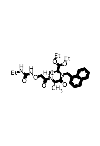 CCNC(=O)NOCC(=O)N[C@@H](C)C(=O)N(Cc1cccc2ccccc12)[C@@H](C)C(OCC)OCC